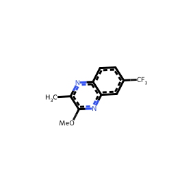 COc1nc2cc(C(F)(F)F)ccc2nc1C